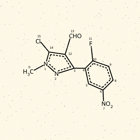 Cn1nc(-c2cc([N+](=O)[O-])ccc2F)c(C=O)c1Cl